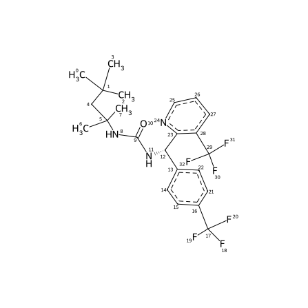 CC(C)(C)CC(C)(C)NC(=O)N[C@@H](c1ccc(C(F)(F)F)cc1)c1ncccc1C(F)(F)F